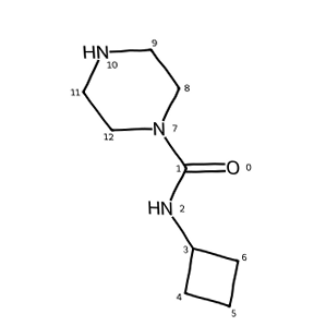 O=C(NC1CCC1)N1CCNCC1